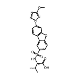 COc1nnn(-c2ccc3c(c2)oc2ccc(S(=O)(=O)N[C@@H](C(=O)O)C(C)C)cc23)n1